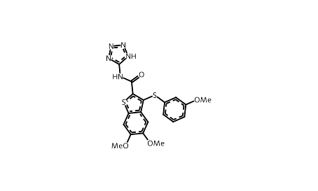 COc1cccc(Sc2c(C(=O)Nc3nnn[nH]3)sc3cc(OC)c(OC)cc23)c1